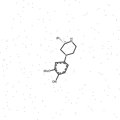 COc1cc(N2CCN[C@@H](C(C)C)C2)ccc1N=O